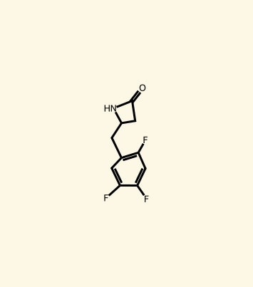 O=C1CC(Cc2cc(F)c(F)cc2F)N1